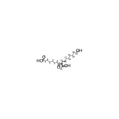 O=C(O)CCCCCC[C@@H]1OC[C@H](O)[C@@H]1C=CCCCCCCO